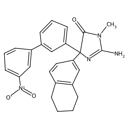 CN1C(=O)C(c2cccc(-c3cccc([N+](=O)[O-])c3)c2)(c2ccc3c(c2)CCCC3)N=C1N